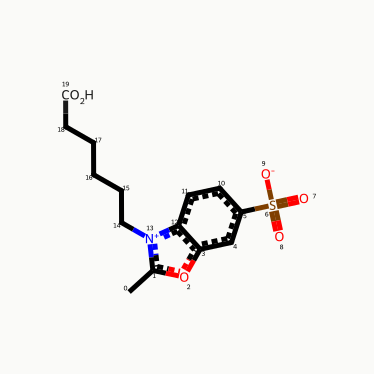 Cc1oc2cc(S(=O)(=O)[O-])ccc2[n+]1CCCCCC(=O)O